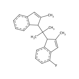 CC1=Cc2ccccc2C1C(C)(C)C1C(C)=Cc2c(F)cccc21